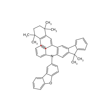 CC1(C)CCC(C)(C)c2cc(-c3cc4c(cc3N(c3ccccc3)c3ccc5oc6ccccc6c5c3)C(C)(C)c3ccccc3-4)ccc21